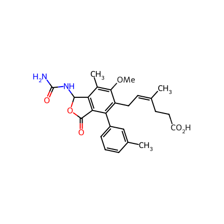 COc1c(C)c2c(c(-c3cccc(C)c3)c1CC=C(C)CCC(=O)O)C(=O)OC2NC(N)=O